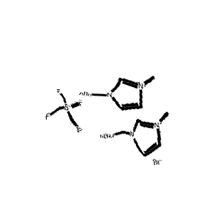 CCCCn1cc[n+](C)c1.CCCCn1cc[n+](C)c1.F[B-](F)(F)F.[Br-]